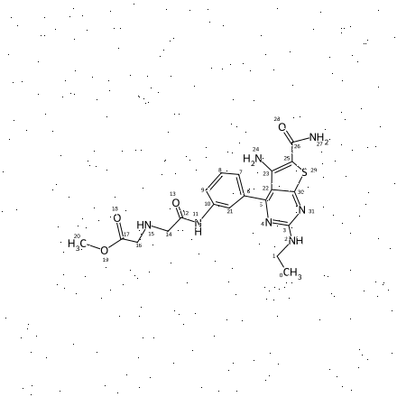 CCNc1nc(-c2cccc(NC(=O)CNCC(=O)OC)c2)c2c(N)c(C(N)=O)sc2n1